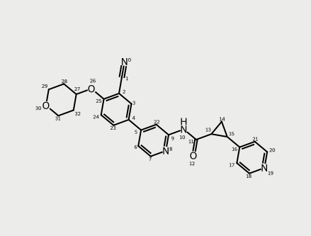 N#Cc1cc(-c2ccnc(NC(=O)C3CC3c3ccncc3)c2)ccc1OC1CCOCC1